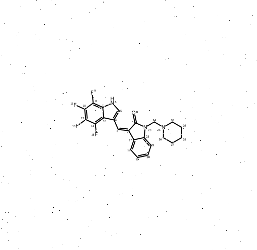 O=C1C(=Cc2c[nH]c3c(F)c(F)c(F)c(F)c23)c2ccccc2N1CN1CCCCC1